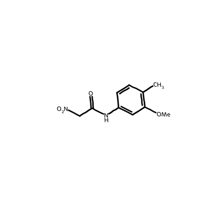 COc1cc(NC(=O)C[N+](=O)[O-])ccc1C